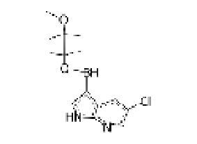 COC(C)(C)C(C)(C)OBc1c[nH]c2ncc(Cl)cc12